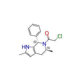 Cc1cc2c([nH]1)[C@H](c1ccccc1)N(C(=O)CCl)[C@@H](C)C2